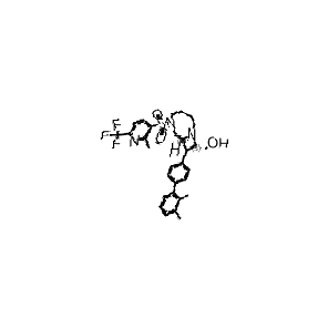 Cc1cccc(-c2ccc(C3[C@@H](CO)N4CCCCN(S(=O)(=O)c5ccc(C(F)(F)F)nc5C)C[C@@H]34)cc2)c1C